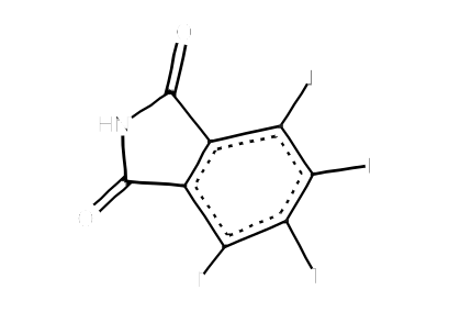 O=C1NC(=O)c2c(I)c(I)c(I)c(I)c21